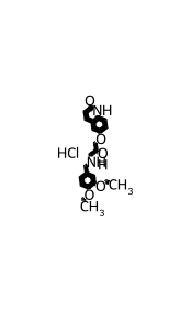 CCOc1ccc(CNC[C@@H](O)COc2ccc3[nH]c(=O)ccc3c2)cc1OCC.Cl